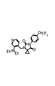 CCN(CC)c1cnccc1CN1C(=O)N(c2ccc(OC(F)(F)F)cc2)C(=O)C12CC2